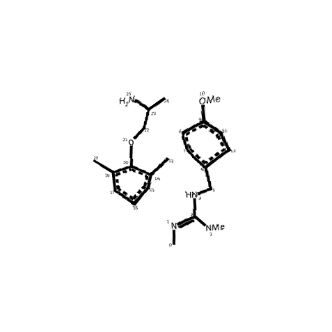 C/N=C(\NC)NCc1ccc(OC)cc1.Cc1cccc(C)c1OCC(C)N